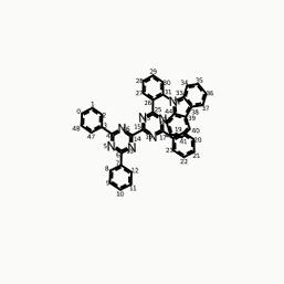 c1ccc(-c2nc(-c3ccccc3)nc(-c3nc(-c4ccccc4)nc(-c4ccccc4-n4c5ccccc5c5ccccc54)n3)n2)cc1